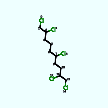 ClCC(Cl)CCCC(Cl)CCC(Cl)CCl